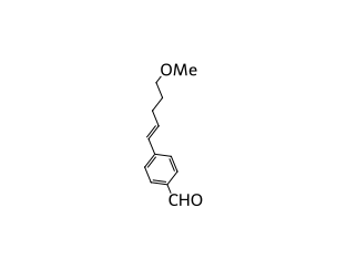 COCCCC=Cc1ccc(C=O)cc1